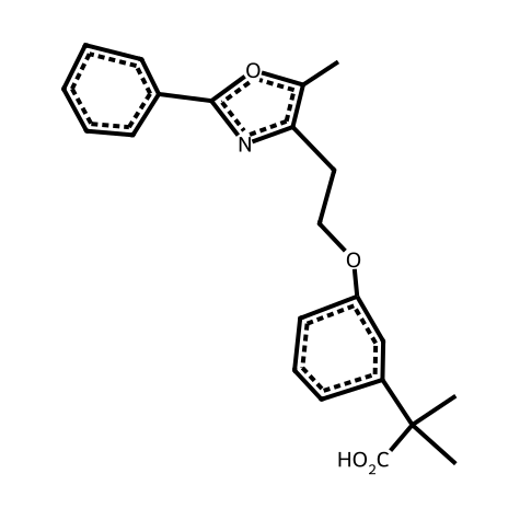 Cc1oc(-c2ccccc2)nc1CCOc1cccc(C(C)(C)C(=O)O)c1